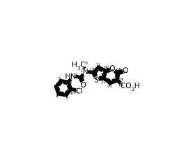 CN(C(=O)Nc1ccccc1Cl)c1cc2oc(=O)c(C(=O)O)cc2s1